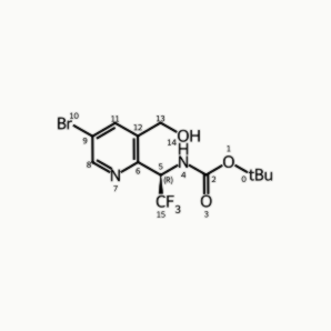 CC(C)(C)OC(=O)N[C@H](c1ncc(Br)cc1CO)C(F)(F)F